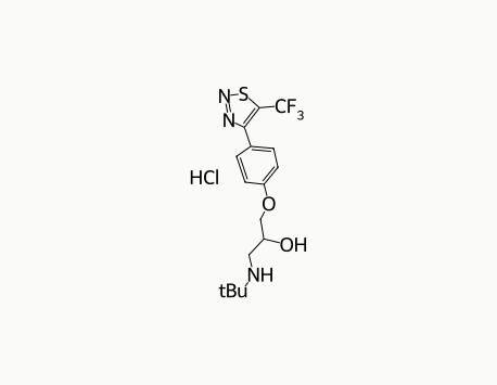 CC(C)(C)NCC(O)COc1ccc(-c2nnsc2C(F)(F)F)cc1.Cl